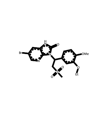 CCOc1cc(C(CS(C)(=O)=O)n2c(=O)[nH]c3cc(Br)cnc32)ccc1OC